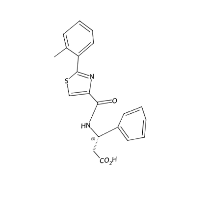 Cc1ccccc1-c1nc(C(=O)N[C@@H](CC(=O)O)c2ccccc2)cs1